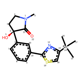 CN1CC[C@@](O)(c2cccc(-c3n[c]([Sn]([CH3])([CH3])[CH3])cs3)c2)C1=O